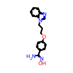 NC(=NO)c1ccc(OCCCn2cnc3ccccc32)cc1